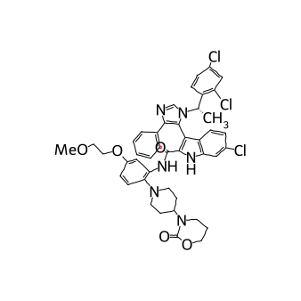 COCCOc1ccc(N2CCC(N3CCCOC3=O)CC2)c(NC(=O)c2[nH]c3cc(Cl)ccc3c2-c2c(-c3ccccc3)ncn2[C@@H](C)c2ccc(Cl)cc2Cl)c1